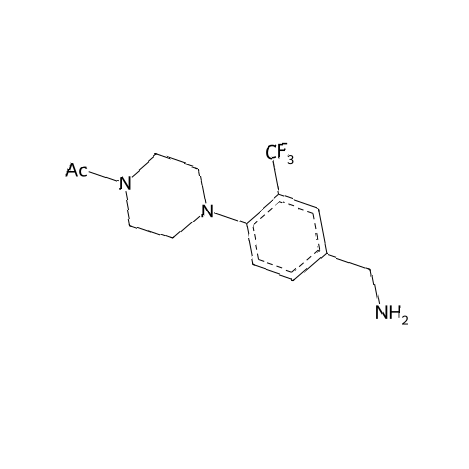 CC(=O)N1CCN(c2ccc(CN)cc2C(F)(F)F)CC1